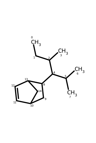 CCC(C)C(C(C)C)C1CC2C=CC1C2